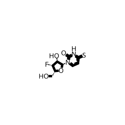 O=c1[nH]c(=S)ccn1[C@@H]1O[C@H](CO)[C@H](F)[C@@H]1O